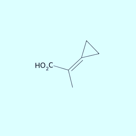 CC(C(=O)O)=C1CC1